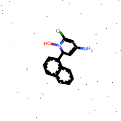 NC1=CC(c2cccc3ccccc23)N(O)C(Cl)=C1